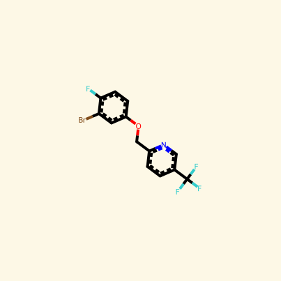 Fc1ccc(OCc2ccc(C(F)(F)F)cn2)cc1Br